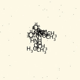 CC(C)(C)OC(=O)NCC[C@@](NC(=O)OC(C)(C)C)(C(=O)O)N(C1CCCCC1)C1CCCCC1